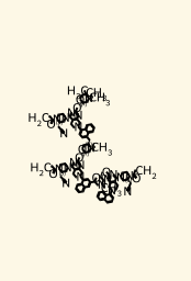 C=CC(=O)N1CCN(c2nc(OC[C@H]3CN(C)[C@H](Cc4ccc(N5CCc6c(nc(OC[C@H]7CN(C)C(C)(C)CO7)nc6N6CCN(C(=O)C=C)[C@@H](CC#N)C6)C5)c5ccccc45)CO3)nc3c2CCN(c2cc(C4CN(C)C[C@H](COc5nc6c(c(N7CCN(C(=O)C=C)[C@@H](CC#N)C7)n5)CCN(c5cccc7ccccc57)C6)O4)cc4ccccc24)C3)C[C@@H]1CC#N